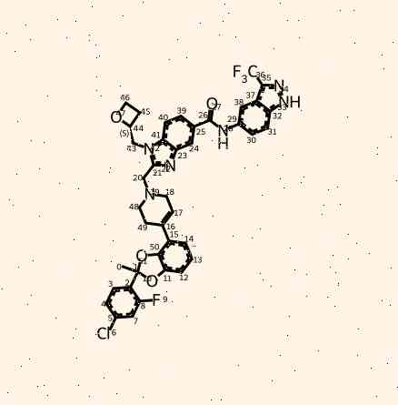 CC1(c2ccc(Cl)cc2F)Oc2cccc(C3=CCN(Cc4nc5cc(C(=O)Nc6ccc7[nH]nc(C(F)(F)F)c7c6)ccc5n4C[C@@H]4CCO4)CC3)c2O1